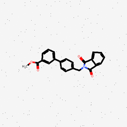 COC(=O)c1cccc(-c2ccc(CN3C(=O)c4ccccc4C3=O)cc2)c1